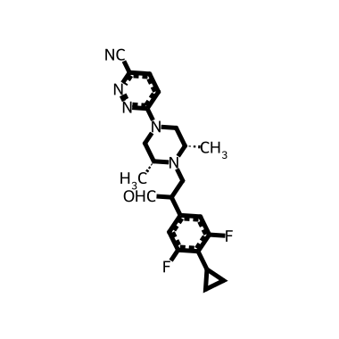 C[C@@H]1CN(c2ccc(C#N)nn2)C[C@H](C)N1CC(C=O)c1cc(F)c(C2CC2)c(F)c1